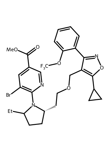 CCC1CC[C@@H](CCOCc2c(-c3ccccc3OC(F)(F)F)noc2C2CC2)N1c1ncc(C(=O)OC)cc1Br